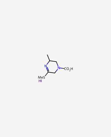 CSC1=NC(C)CN(C(=O)O)C1.I